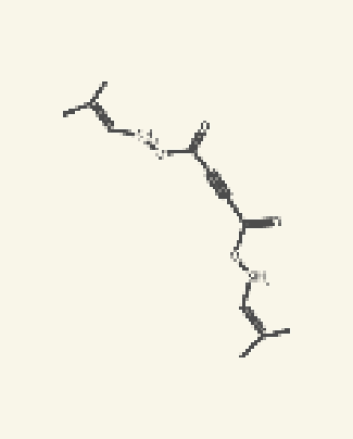 CC(C)=C[SiH2]OC(=O)C#CC(=O)O[SiH2]C=C(C)C